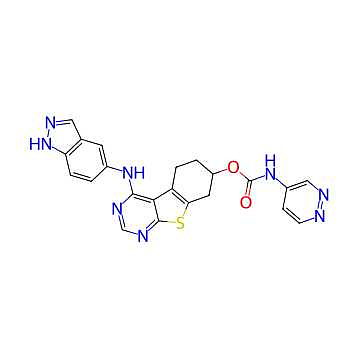 O=C(Nc1ccnnc1)OC1CCc2c(sc3ncnc(Nc4ccc5[nH]ncc5c4)c23)C1